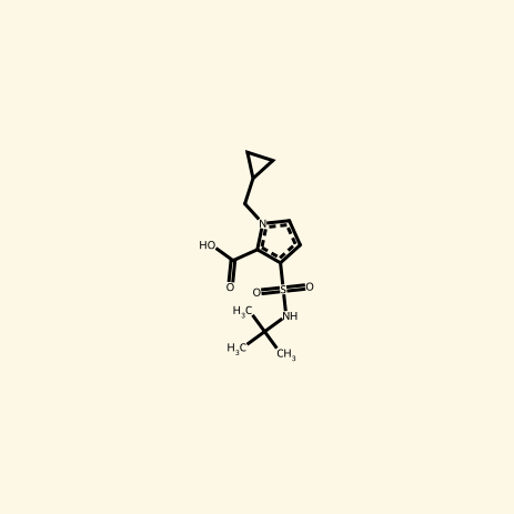 CC(C)(C)NS(=O)(=O)c1ccn(CC2CC2)c1C(=O)O